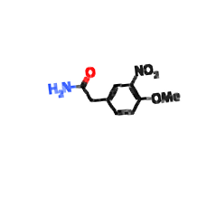 COc1ccc(CC(N)=O)cc1[N+](=O)[O-]